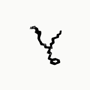 CCCCCCCOC(COCCCCCCO)COCc1ccccc1